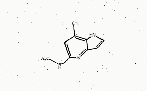 CBc1cc(C)c2[nH]ccc2n1